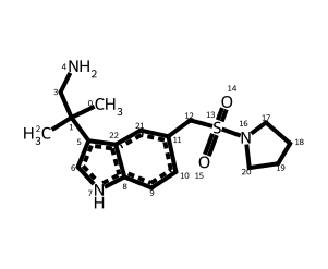 CC(C)(CN)c1c[nH]c2ccc(CS(=O)(=O)N3CCCC3)cc12